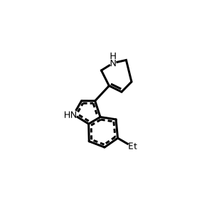 CCc1ccc2[nH]cc(C3=CCCNC3)c2c1